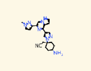 Cn1ccc(-c2cn3nccc3c(-c3cnn([C@]4(CC#N)CC[C@H](N)CC4)c3)n2)n1